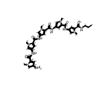 [CH2]CCNC(=O)c1cc(NC(=O)c2cc(NC(=O)c3cc(NC(=O)c4cc(NC(=O)c5cc(N)cn5C)cn4C)cn3C)cn2C)cn1C